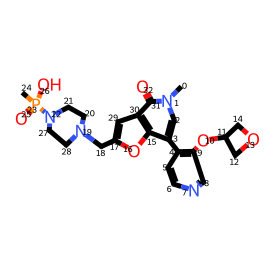 Cn1cc(-c2ccncc2OC2COC2)c2oc(CN3CCN(P(C)(=O)O)CC3)cc2c1=O